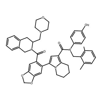 Cc1cccc(C)c1CN(C(=O)c1cc(-c2cc3c(cc2C(=O)N2Cc4ccccc4CC2CN2CCOCC2)OCO3)n2c1CCCC2)c1ccc(O)cc1